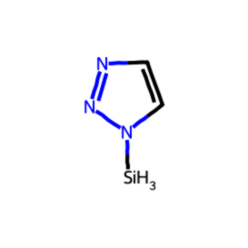 [SiH3]n1ccnn1